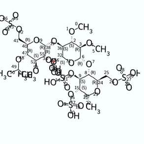 CO[C@@H]1[C@@H](OC)[C@H](O[C@H]2[C@H](OS(=O)(=O)O)[C@@H](OS(=O)(=O)O)[C@@H](C)O[C@@H]2COS(=O)(=O)O)O[C@H](C(=O)O)[C@H]1O[C@H]1O[C@H](COS(=O)(=O)O)[C@@H](OC(C)C)[C@H](OC)[C@H]1OC